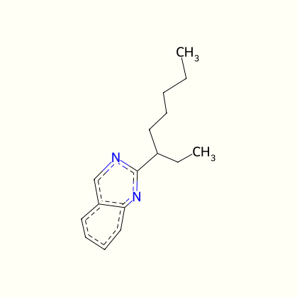 CCCCCC(CC)c1ncc2ccccc2n1